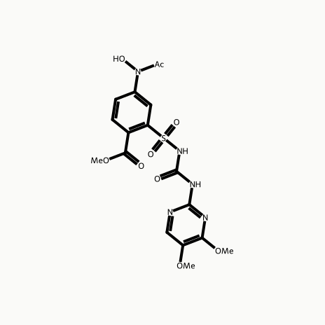 COC(=O)c1ccc(N(O)C(C)=O)cc1S(=O)(=O)NC(=O)Nc1ncc(OC)c(OC)n1